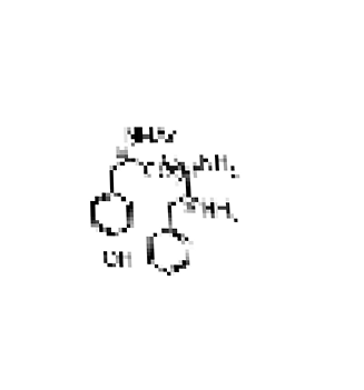 CC(=O)N[C@@H](Cc1ccc(O)cc1)C(=O)O.NC(=O)[C@@H](N)Cc1ccccc1